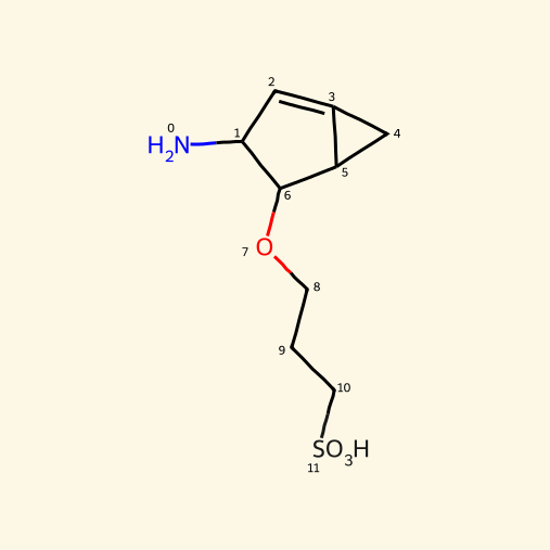 NC1C=C2CC2C1OCCCS(=O)(=O)O